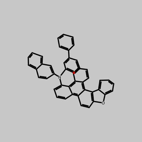 c1ccc(-c2cccc(N(c3ccc4ccccc4c3)c3cccc4c5ccc6oc7ccccc7c6c5c5ccccc5c34)c2)cc1